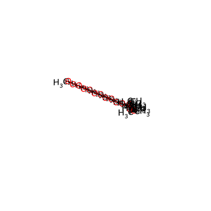 COCCOCCOCCOCCOCCOCCOCCOCCOCCOCCOCCC[Si](C)(O[Si](C)(C)C)O[Si](C)(C)O[Si](C)(C)C